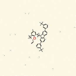 C=CCOc1c([Si](C)(C)C)cc(C)cc1[Si](C)(C)C1c2cc(-c3cccc(C(C)(C)C)c3)ccc2-c2ccc(-c3cccc(C(C)(C)C)c3)cc21